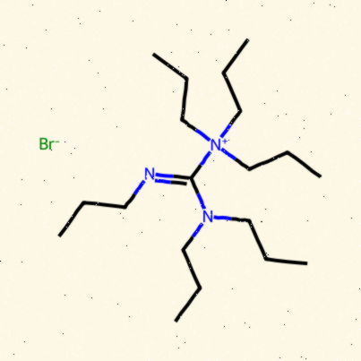 CCC/N=C(\N(CCC)CCC)[N+](CCC)(CCC)CCC.[Br-]